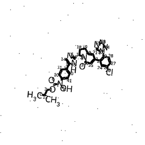 CC(C)COC(=O)N(O)c1ccc(-c2cnc([C@@H]3CCc4cc(-c5cc(Cl)ccc5-n5cnnn5)cc(=O)n43)[nH]2)cc1